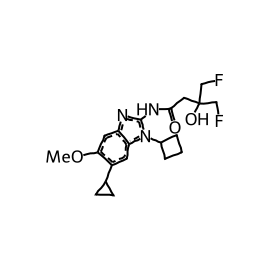 COc1cc2nc(NC(=O)CC(O)(CF)CF)n(C3CCC3)c2cc1C1CC1